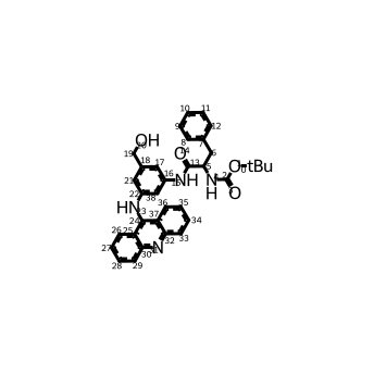 CC(C)(C)OC(=O)NC(Cc1ccccc1)C(=O)Nc1cc(CO)cc(Nc2c3ccccc3nc3ccccc23)c1